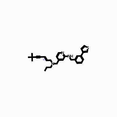 CCCN(C/C=C/C#CC(C)(C)C)Cc1ccnc(NCc2cccc(-c3ccsc3)c2)c1